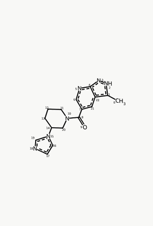 Cc1[nH]nc2ncc(C(=O)N3CCCC(n4ccnc4)C3)cc12